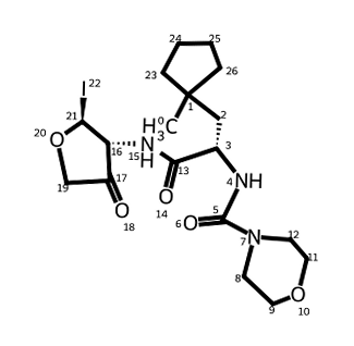 CC1(C[C@H](NC(=O)N2CCOCC2)C(=O)N[C@@H]2C(=O)CO[C@H]2I)CCCC1